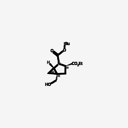 CCOC(=O)[C@@H]1C[C@@]2(CO)C[C@@H]2N1C(=O)OC(C)(C)C